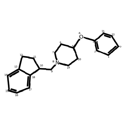 c1ccc(OC2CCN(CC3CCc4ccccc43)CC2)cc1